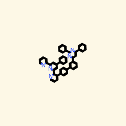 c1ccc(-c2cc(-c3ccccn3)nc(-c3ncccc3-c3ccc(-c4cccc(-c5cc(-c6ccccc6)nc(-c6ccccc6)n5)c4)cc3)c2)cc1